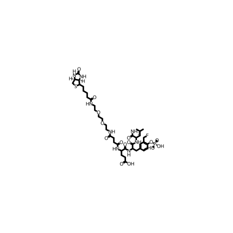 CC(C)CC(NC(=O)C(Cc1ccc(OP(=O)(O)O)c(CF)c1)NC(=O)C(CCC(=O)O)NC(=O)CCC(=O)NCCOCCOCCNC(=O)CCCCC1SC[C@H]2NC(=O)N[C@@H]12)C(N)=O